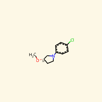 CO[C@H]1CCN(c2ccc(Cl)cc2)C1